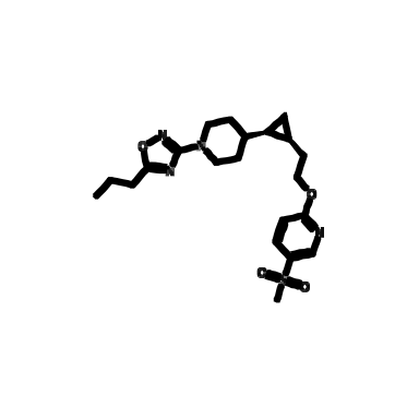 CCCc1nc(N2CCC([C@H]3C[C@H]3CCOc3ccc(S(C)(=O)=O)cn3)CC2)no1